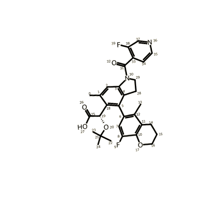 Cc1cc2c(c(-c3cc(F)c4c(c3C)CCCO4)c1[C@H](OC(C)(C)C)C(=O)O)CCN2C(=O)c1ccncc1F